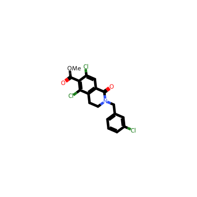 COC(=O)c1c(Cl)cc2c(c1Cl)CCN(Cc1cccc(Cl)c1)C2=O